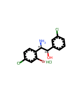 Cl.N[C@H](c1ccc(Cl)cc1Br)[C@H](O)c1cccc(Cl)c1